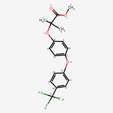 COC(=O)C(C)(C)Oc1ccc(Oc2ccc(C(F)(F)F)cc2)cc1